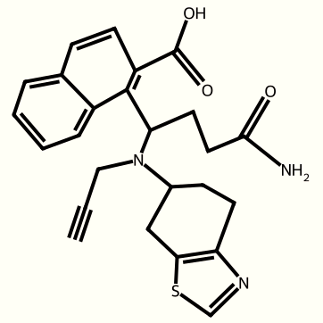 C#CCN(C1CCc2ncsc2C1)C(CCC(N)=O)c1c(C(=O)O)ccc2ccccc12